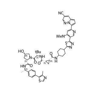 CNc1cc(-c2ccc3cc(C#N)cnn23)ncc1-c1nnc(C2CCC(NC(=O)[C@@H]3C[C@@H]3C(=O)N[C@H](C(=O)N3C[C@H](O)C[C@H]3C(=O)N[C@@H](C)c3ccc(-c4scnc4C)cc3)C(C)(C)C)CC2)s1